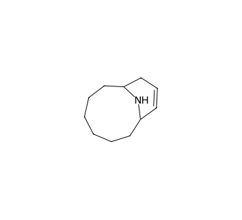 C1=CC2CCCCCCC(C1)N2